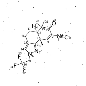 [C-]#[N+]C1=C[C@]2(C)c3nn(CC(F)(F)F)cc3CC[C@H]2C(C)(C)C1=O